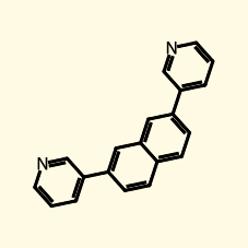 c1cncc(-c2ccc3ccc(-c4cccnc4)cc3c2)c1